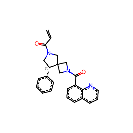 C=CC(=O)N1C[C@@H](c2ccccc2)C2(C1)CN(C(=O)c1cccc3cccnc13)C2